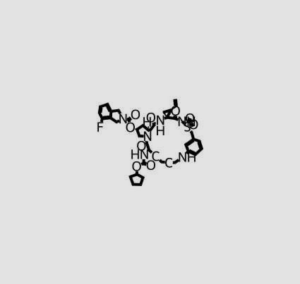 C=C[C@@H]1C[C@@]12NC(=O)[C@@H]1C[C@@H](OC(=O)N3Cc4cccc(F)c4C3)CN1C(=O)[C@@H](NC(=O)OC1CCCC1)CCCCNc1cccc(c1)CS(=O)(=O)NC2=O